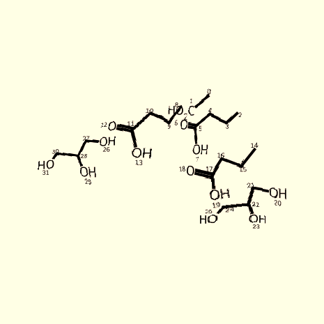 CC(=O)O.CCCC(=O)O.CCCC(=O)O.CCCC(=O)O.OCC(O)CO.OCC(O)CO